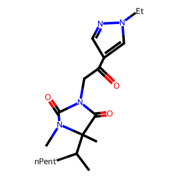 CCCCCC(C)C1(C)C(=O)N(CC(=O)c2cnn(CC)c2)C(=O)N1C